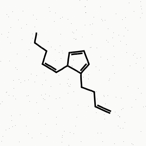 C=CCCC1=CC=CC1/C=C\CCC